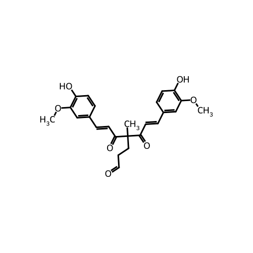 COc1cc(/C=C/C(=O)C(C)(CCC=O)C(=O)/C=C/c2ccc(O)c(OC)c2)ccc1O